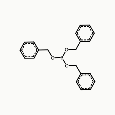 c1ccc(COB(OCc2ccccc2)OCc2ccccc2)cc1